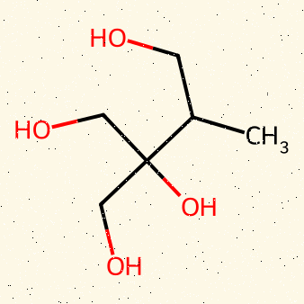 CC(CO)C(O)(CO)CO